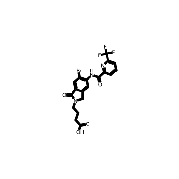 O=C(O)CCCN1Cc2cc(NC(=O)c3cccc(C(F)(F)F)n3)c(Br)cc2C1=O